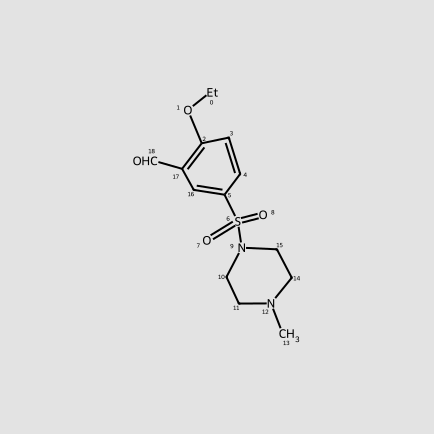 CCOc1ccc(S(=O)(=O)N2CCN(C)CC2)cc1C=O